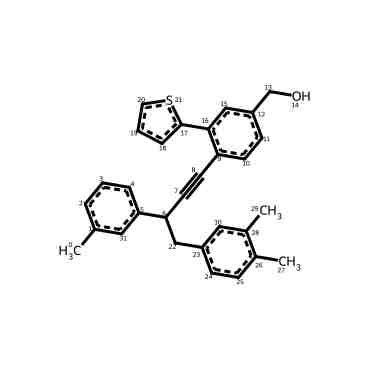 Cc1cccc(C(C#Cc2ccc(CO)cc2-c2cccs2)Cc2ccc(C)c(C)c2)c1